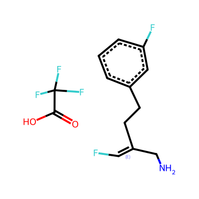 NC/C(=C/F)CCc1cccc(F)c1.O=C(O)C(F)(F)F